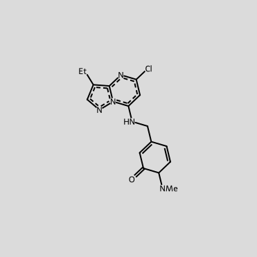 CCc1cnn2c(NCC3=CC(=O)C(NC)C=C3)cc(Cl)nc12